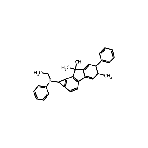 CCN(c1ccccc1)C1c2ccc3c(c21)C(C)(C)C1=CC(c2ccccc2)C(C)C=C13